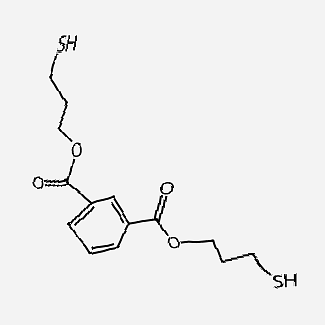 O=C(OCCCS)c1cccc(C(=O)OCCCS)c1